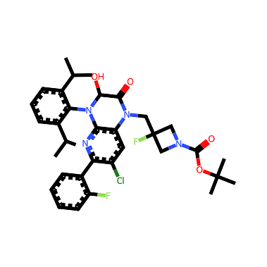 CC(C)c1cccc(C(C)C)c1N1c2nc(-c3ccccc3F)c(Cl)cc2N(CC2(F)CN(C(=O)OC(C)(C)C)C2)C(=O)C1O